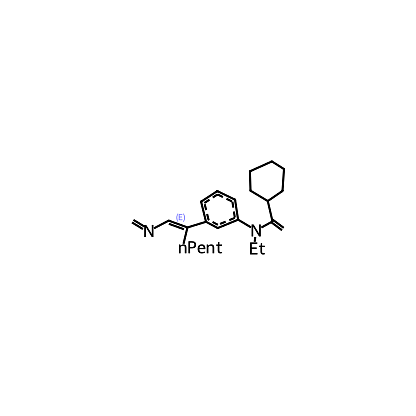 C=N/C=C(\CCCCC)c1cccc(N(CC)C(=C)C2CCCCC2)c1